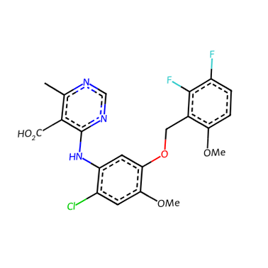 COc1cc(Cl)c(Nc2ncnc(C)c2C(=O)O)cc1OCc1c(OC)ccc(F)c1F